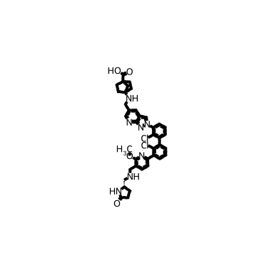 COc1nc(-c2cccc(-c3cccc(-n4cc5cc(CNC67CCC(C(=O)O)(CC6)C7)cnc5n4)c3Cl)c2Cl)ccc1CNC[C@@H]1CCC(=O)N1